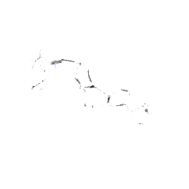 Cc1nnn(-c2ccc(-c3cnc(/C=C4\C[C@@]5(C)CC[C@](C)(N5)[C@H]4F)cn3)c(O)c2)n1